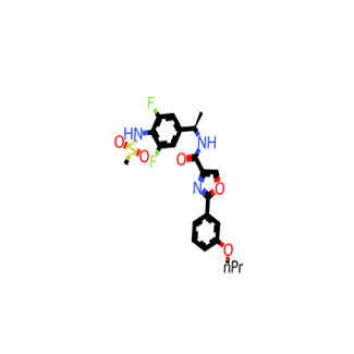 CCCOc1cccc(-c2nc(C(=O)N[C@H](C)c3cc(F)c(NS(C)(=O)=O)c(F)c3)co2)c1